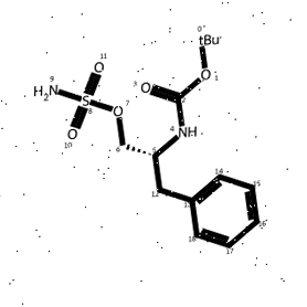 CC(C)(C)OC(=O)N[C@@H](COS(N)(=O)=O)Cc1ccccc1